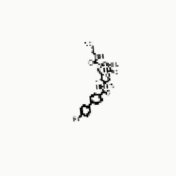 CCc1ccc(-c2ccc(C(=O)N[C@](C#N)(COC(N)=O)[C@H](C)CCN(O)C(=O)NCCC#N)cc2)cc1